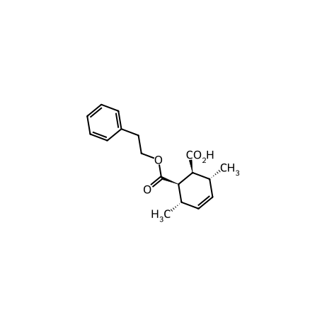 C[C@@H]1C=C[C@H](C)[C@@H](C(=O)OCCc2ccccc2)[C@H]1C(=O)O